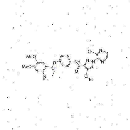 C=Nc1cc(OC)c(OC)cc1/C(=C\C)Oc1ccc(NC(=O)c2nn(-c3nccnc3Cl)cc2OCC)nc1